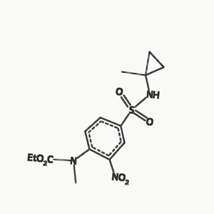 CCOC(=O)N(C)c1ccc(S(=O)(=O)NC2(C)CC2)cc1[N+](=O)[O-]